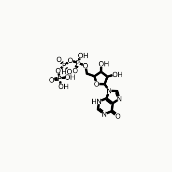 O=c1nc[nH]c2c1ncn2C1OC(COP(=O)(O)OP(=O)(O)OP(=O)(O)O)C(O)C1O